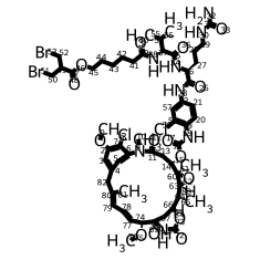 COc1cc2cc(c1Cl)N(C)C(=O)C[C@H](OC(=O)Nc1ccc(NC(=O)[C@H](CCCNC(N)=O)NC(=O)[C@@H](NC(=O)CCCCCOC(=O)C(CBr)CBr)C(C)C)cc1Cl)[C@]1(C)O[C@H]1[C@H](C)[C@@H]1C[C@@](O)(NC(=O)O1)[C@H](OC)/C=C/C=C(\C)C2